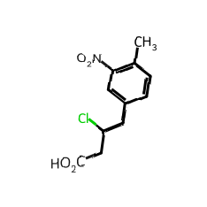 Cc1ccc(CC(Cl)CC(=O)O)cc1[N+](=O)[O-]